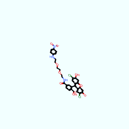 O=C(NCCOCCOCCNc1ccc([N+](=O)[O-])cc1)c1ccc(C(=O)O)c(-c2c3cc(Cl)c(=O)cc-3oc3cc(O)c(Cl)cc23)c1